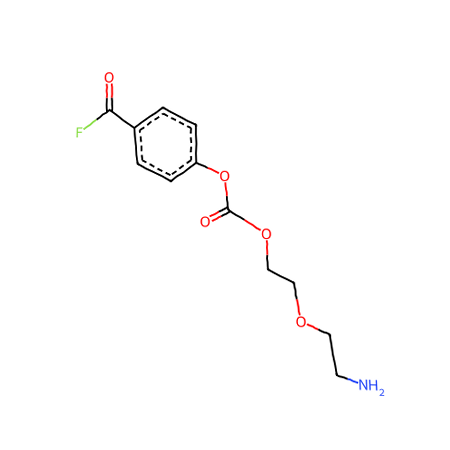 NCCOCCOC(=O)Oc1ccc(C(=O)F)cc1